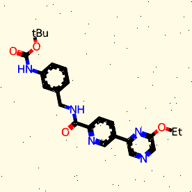 CCOc1cncc(-c2ccc(C(=O)NCc3cccc(NC(=O)OC(C)(C)C)c3)nc2)n1